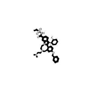 CCS(=O)(=O)NC(=O)c1ccc2c([C@@H]3CCCC[C@H]3F)c3n(c2c1)CCN(CCN(C)C)Cc1cc(OCc2ccccc2)ccc1-3